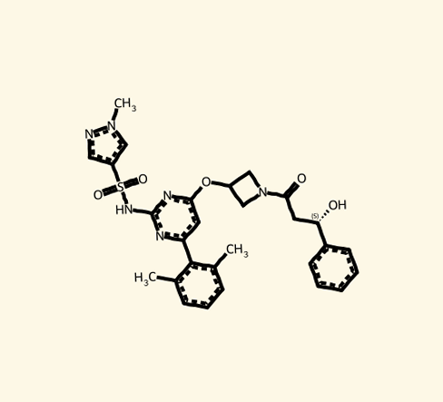 Cc1cccc(C)c1-c1cc(OC2CN(C(=O)C[C@H](O)c3ccccc3)C2)nc(NS(=O)(=O)c2cnn(C)c2)n1